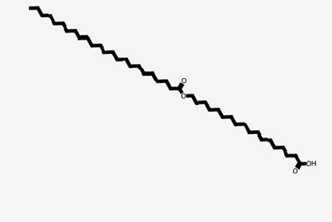 CCCCCCCCC=CCCCCCCCCCCCCCC(=O)OCCCCCCCCCCCCCCCCCC(=O)O